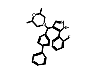 CC1CN(C(c2ccc(-c3ccccc3)cc2)c2cn[nH]c2-c2ccccc2F)CC(C)O1